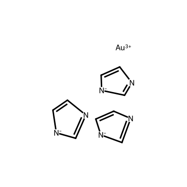 [Au+3].c1c[n-]cn1.c1c[n-]cn1.c1c[n-]cn1